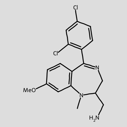 COc1ccc2c(c1)N(C)C(CN)CN=C2c1ccc(Cl)cc1Cl